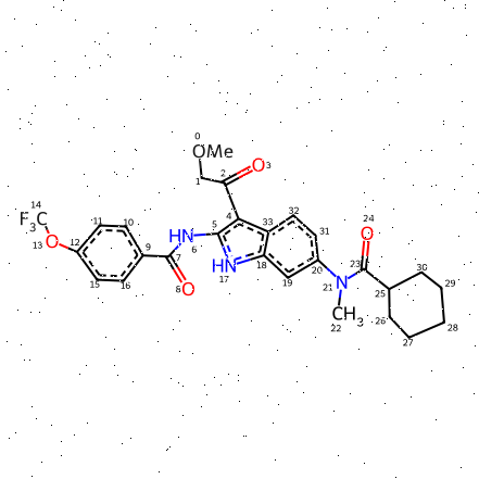 COCC(=O)c1c(NC(=O)c2ccc(OC(F)(F)F)cc2)[nH]c2cc(N(C)C(=O)C3CCCCC3)ccc12